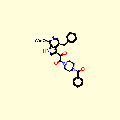 COc1ncc(Cc2ccccc2)c2c(C(=O)C(=O)N3CCN(C(=O)c4ccccc4)CC3)c[nH]c12